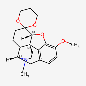 COc1ccc2c3c1O[C@H]1C4(CCC5[C@@H](C2)N(C)CC[C@@]351)OCCCO4